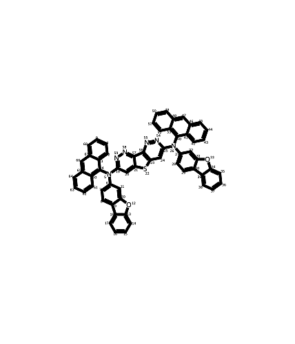 c1ccc2c(N(c3ccc4c(c3)oc3ccccc34)c3cc4sc5cc(N(c6ccc7c(c6)oc6ccccc67)c6c7ccccc7cc7ccccc67)nnc5c4nn3)c3ccccc3cc2c1